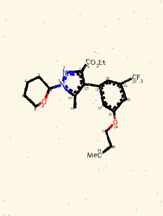 CCOC(=O)c1nn(C2CCCCO2)c(C)c1-c1cc(OCCOC)cc(C(F)(F)F)c1